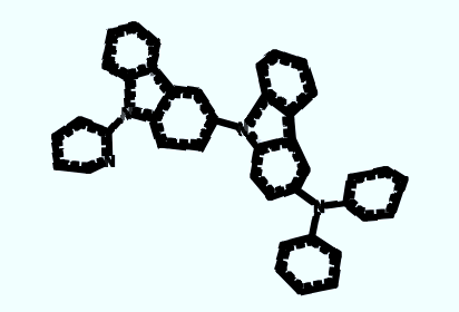 c1ccc(N(c2ccccc2)c2ccc3c(c2)c2ccccc2n3-c2ccc3c(c2)c2ccccc2n3-c2ccccn2)cc1